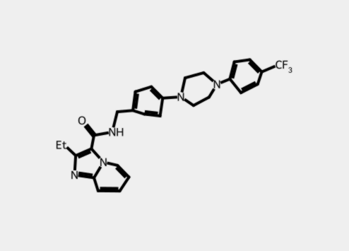 CCc1nc2ccccn2c1C(=O)NCc1ccc(N2CCN(c3ccc(C(F)(F)F)cc3)CC2)cc1